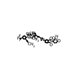 CC#Cc1cc(C(F)(F)F)ccc1NC(=O)C(C)(C)n1ncc(C#CC2CN(c3ccc4c(c3)C(=O)N(C3CCC(=O)NC3=O)C4=O)C2)c1C